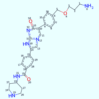 NCCCOCc1ccc(-c2cn3cc(-c4ccc(C(=O)NC5CCNCC5)cc4)[nH]c3nc2=O)cc1